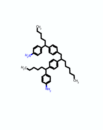 CCCCCCC(Cc1ccc(C(CCCCC)c2ccc(N)cc2)cc1)c1ccc(C(CCCCC)c2ccc(N)cc2)cc1